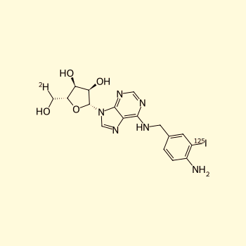 [2H]C(O)[C@H]1O[C@@H](n2cnc3c(NCc4ccc(N)c([125I])c4)ncnc32)[C@H](O)[C@@H]1O